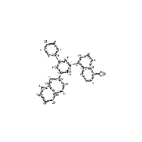 Clc1cccc2c(-c3nc(-c4ccccc4)nc(-c4ccc5ccccc5c4)n3)cccc12